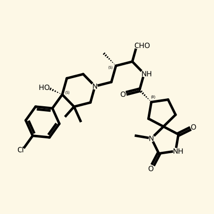 C[C@@H](CN1CC[C@](O)(c2ccc(Cl)cc2)C(C)(C)C1)C(C=O)NC(=O)[C@@H]1CCC2(C1)C(=O)NC(=O)N2C